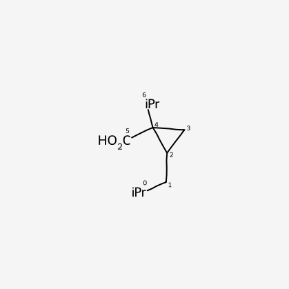 CC(C)CC1CC1(C(=O)O)C(C)C